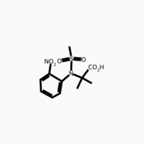 CC(C)(C(=O)O)N(c1ccccc1[N+](=O)[O-])S(C)(=O)=O